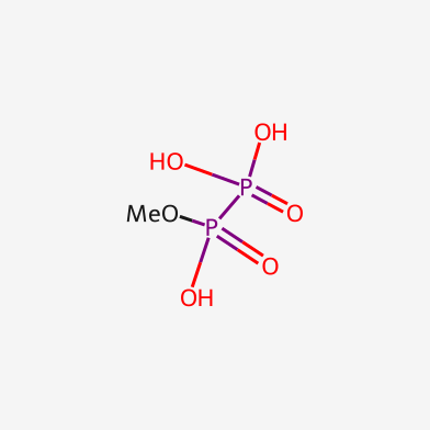 COP(=O)(O)P(=O)(O)O